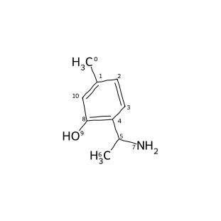 Cc1ccc(C(C)N)c(O)c1